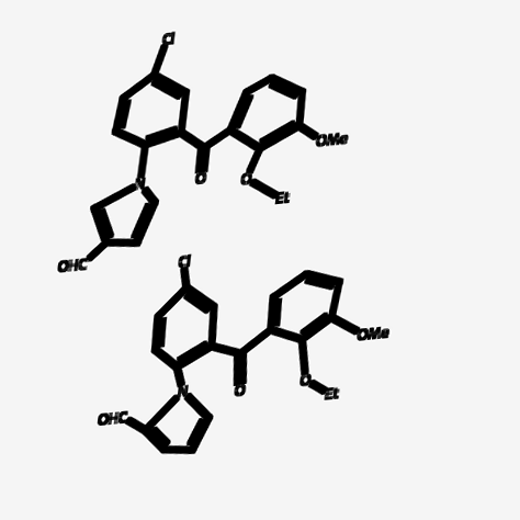 CCOc1c(OC)cccc1C(=O)c1cc(Cl)ccc1-n1ccc(C=O)c1.CCOc1c(OC)cccc1C(=O)c1cc(Cl)ccc1-n1cccc1C=O